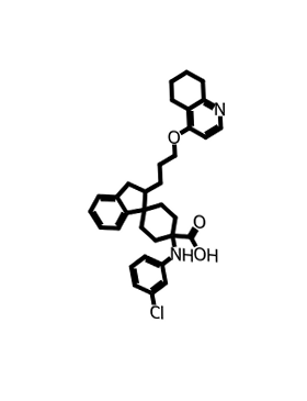 O=C(O)C1(Nc2cccc(Cl)c2)CCC2(CC1)c1ccccc1CC2CCCOc1ccnc2c1CCCC2